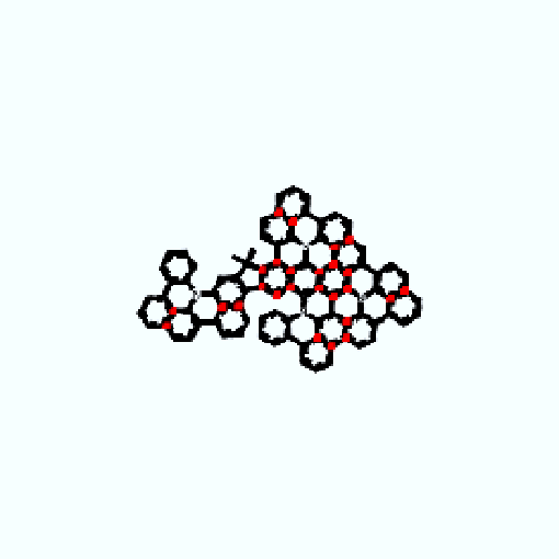 CC1(C)c2cc(N(c3ccccc3-c3ccccc3)c3ccccc3-c3ccccc3)ccc2-c2cc3c(N(c4ccccc4-c4ccccc4)c4ccccc4-c4ccccc4)c4cc(N(c5ccccc5-c5ccccc5)c5ccccc5-c5ccccc5)ccc4c(N(c4ccccc4-c4ccccc4)c4ccccc4-c4ccccc4)c3cc21